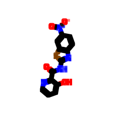 O=C(Nc1nc2ccc([N+](=O)[O-])cc2s1)c1ncccc1O